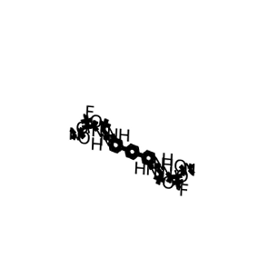 CN(C)C(=O)O[C@@](C)(C(=O)N[C@H](c1nc2ccc(-c3ccc(-c4ccc5nc([C@@H](NC(=O)[C@](C)(OC(O)N(C)C)C(C)(C)CF)C(C)(C)C)[nH]c5c4)cc3)cc2[nH]1)C(C)(C)C)C(C)(C)CF